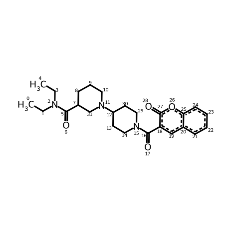 CCN(CC)C(=O)C1CCCN(C2CCN(C(=O)c3cc4ccccc4oc3=O)CC2)C1